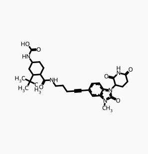 Cn1c(=O)n(C2CCC(=O)NC2=O)c2ccc(C#CCCCNC(=O)C3CCC(NC(=O)O)CC3C(C)(C)C)cc21